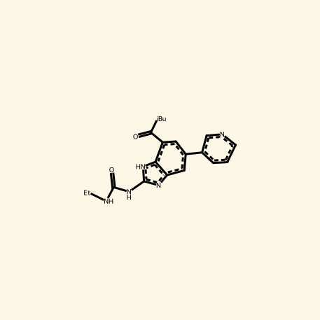 CCNC(=O)Nc1nc2cc(-c3cccnc3)cc(C(=O)C(C)CC)c2[nH]1